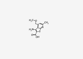 COCc1cc(C)nc2sc(C(=O)O)c(N)c12